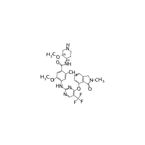 COc1cc(C(=O)N[C@@H]2CCNC[C@H]2OC)c(C)cc1Nc1ncc(C(F)(F)F)c(Oc2cccc3c2C(=O)N(C)C3)n1